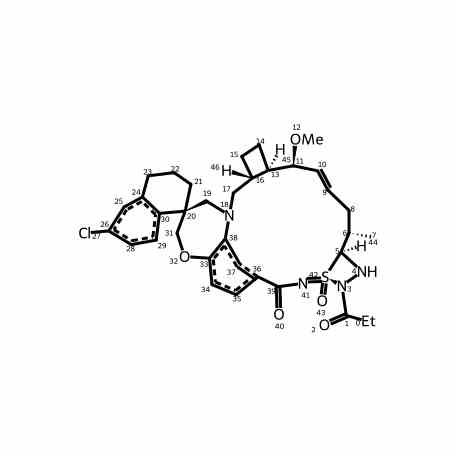 CCC(=O)N1N[C@@H]2[C@@H](C)C/C=C/[C@H](OC)[C@@H]3CC[C@H]3CN3C[C@@]4(CCCc5cc(Cl)ccc54)COc4ccc(cc43)C(=O)N=[S@@]21=O